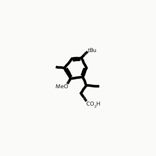 COc1c(C)cc(C(C)(C)C)cc1C(C)CC(=O)O